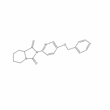 O=C1C2CCCCN2C(=O)N1c1ccc(OCc2ccccc2)cn1